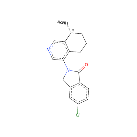 CC(=O)N[C@@H]1CCCc2c1cncc2N1Cc2cc(Cl)ccc2C1=O